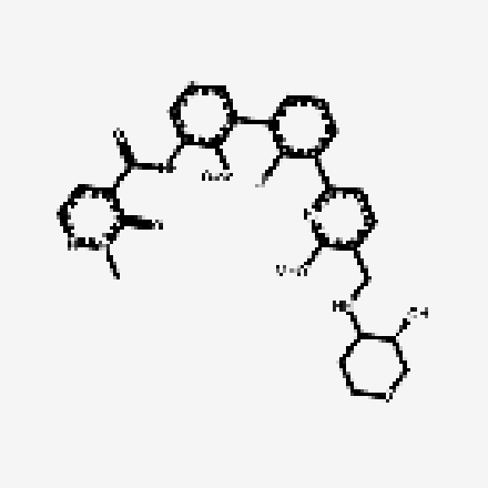 COc1nc(-c2cccc(-c3cccc(NC(=O)c4ccnn(C)c4=O)c3OC)c2Cl)ccc1CNC1CCOC[C@@H]1O